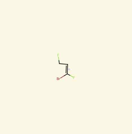 FC/C=C(/F)Br